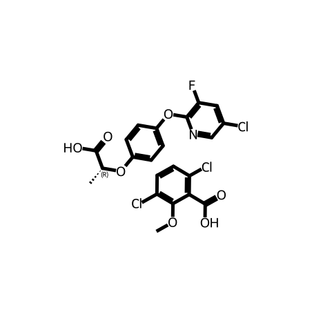 COc1c(Cl)ccc(Cl)c1C(=O)O.C[C@@H](Oc1ccc(Oc2ncc(Cl)cc2F)cc1)C(=O)O